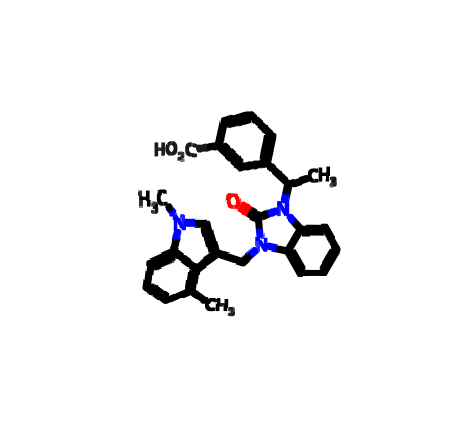 Cc1cccc2c1c(Cn1c(=O)n(C(C)c3cccc(C(=O)O)c3)c3ccccc31)cn2C